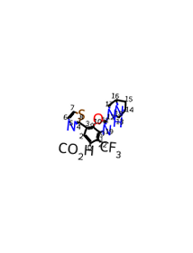 O=C(O)c1cc(-c2nccs2)c2oc(N3CC4CC(C3)N4)nc2c1C(F)(F)F